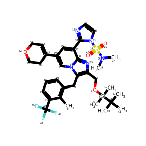 Cc1c(Cc2c(CO[Si](C)(C)C(C)(C)C)nc3c(-c4nccn4S(=O)(=O)N(C)C)cc(C4=CCOCC4)cn23)cccc1C(F)(F)F